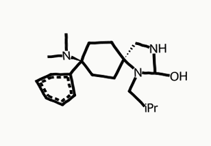 CC(C)CN1C(O)NC[C@]12CC[C@](c1ccccc1)(N(C)C)CC2